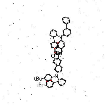 CC(C)c1ccc(-c2ccccc2N(c2ccc(C(C)(C)C)cc2)c2ccc3cc4c(cc3c2)oc2cc3cc(N(c5cccc(-c6ccccc6)c5)c5ccccc5-c5ccc(C(C)(C)C)cc5)ccc3cc24)cc1